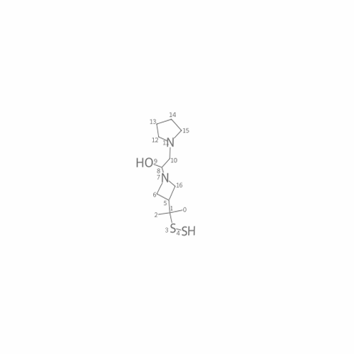 CC(C)(SS)C1CN(C(O)CN2CCCC2)C1